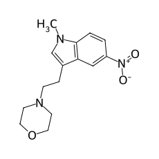 Cn1cc(CCN2CCOCC2)c2cc([N+](=O)[O-])ccc21